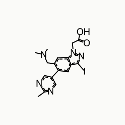 Cc1ncc(-c2cc3c(I)nn(CC(=O)O)c3cc2CN(C)C)cn1